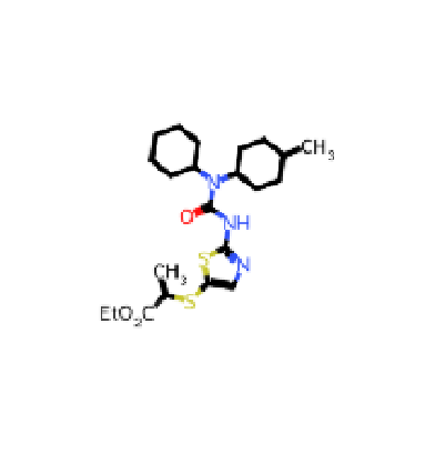 CCOC(=O)C(C)Sc1cnc(NC(=O)N(C2CCCCC2)C2CCC(C)CC2)s1